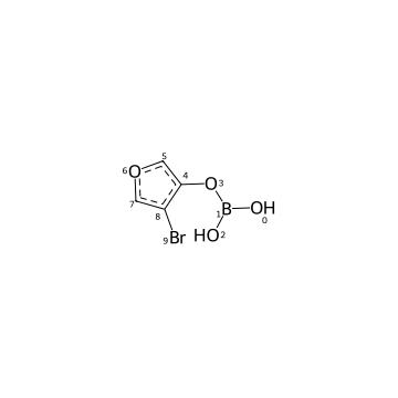 OB(O)Oc1cocc1Br